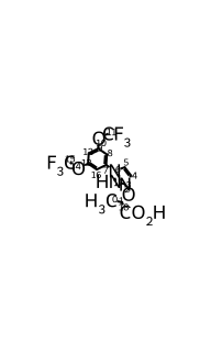 CC(ON1C=CN(c2cc(OC(F)(F)F)cc(OC(F)(F)F)c2)N1)C(=O)O